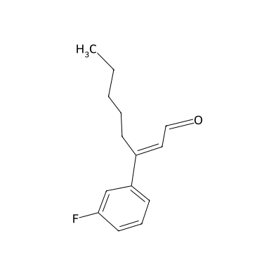 CCCCC/C(=C\C=O)c1cccc(F)c1